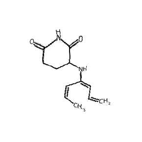 C=C/C=C(\C=C/C)NC1CCC(=O)NC1=O